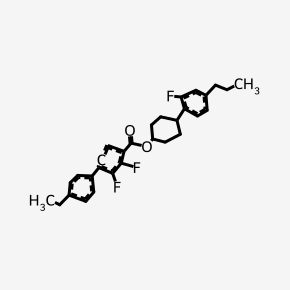 CCCc1ccc(C2CCC(OC(=O)c3ccc(-c4ccc(CC)cc4)c(F)c3F)CC2)c(F)c1